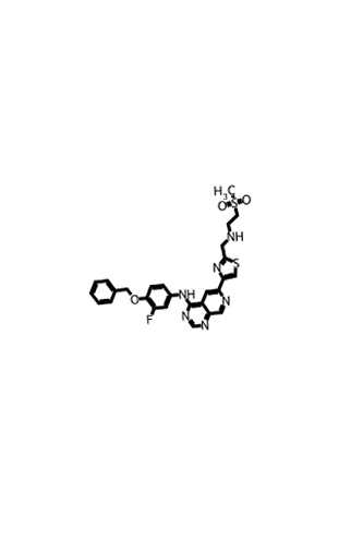 CS(=O)(=O)CCNCc1nc(-c2cc3c(Nc4ccc(OCc5ccccc5)c(F)c4)ncnc3cn2)cs1